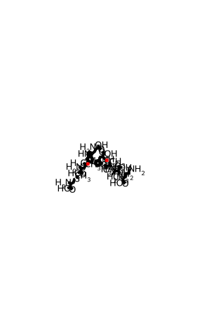 CC(C)C(N)C(=O)O.CC(C)CC(N)C(=O)O.CCC(C)C(N)C(=O)O.CSCCC(N)C(=O)O.NC(Cc1c[nH]c2ccccc12)C(=O)O.NC(Cc1ccccc1)C(=O)O.NCCCCC(N)C(=O)O